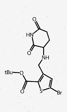 CC(C)(C)OC(=O)c1sc(Br)cc1CNC1CCC(=O)NC1=O